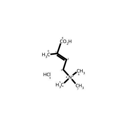 CC(=CC[N+](C)(C)C)C(=O)O.Cl